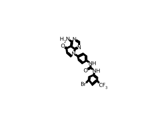 Nc1ncnc2c1c(=O)ccn2-c1ccc(NC(=O)Nc2cc(Br)cc(C(F)(F)F)c2)cc1